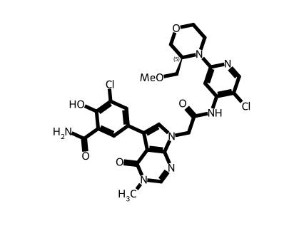 COC[C@H]1COCCN1c1cc(NC(=O)Cn2cc(-c3cc(Cl)c(O)c(C(N)=O)c3)c3c(=O)n(C)cnc32)c(Cl)cn1